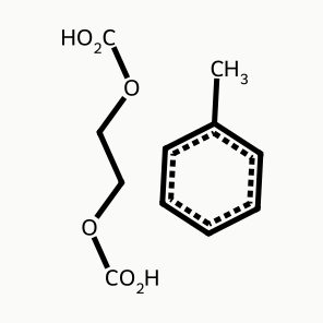 Cc1ccccc1.O=C(O)OCCOC(=O)O